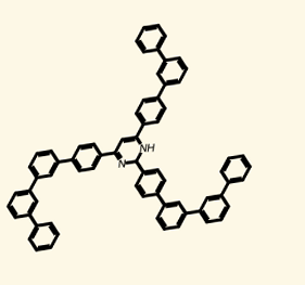 C1=C(c2ccc(-c3cccc(-c4ccccc4)c3)cc2)NC(c2ccc(-c3cccc(-c4cccc(-c5ccccc5)c4)c3)cc2)N=C1c1ccc(-c2cccc(-c3cccc(-c4ccccc4)c3)c2)cc1